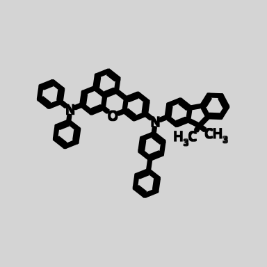 CC1(C)c2ccccc2-c2ccc(N(c3ccc(-c4ccccc4)cc3)c3ccc4c(c3)Oc3cc(N(c5ccccc5)c5ccccc5)cc5cccc-4c35)cc21